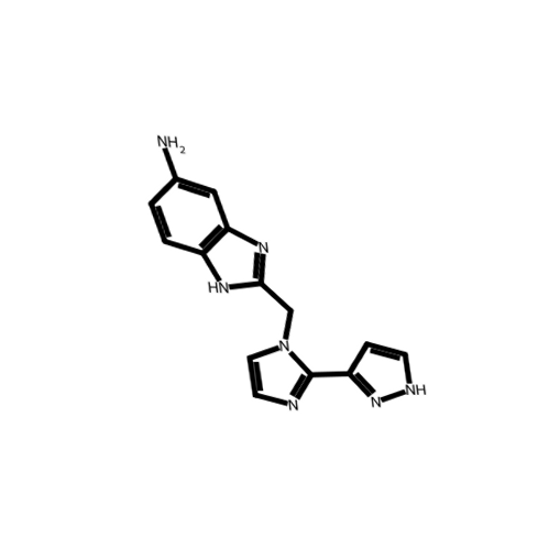 Nc1ccc2[nH]c(Cn3ccnc3-c3cc[nH]n3)nc2c1